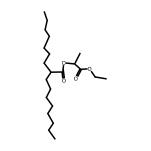 CCCCCCCCC(CCCCCCC)C(=O)OC(C)C(=O)OCC